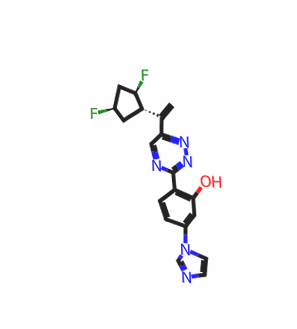 C=C(c1cnc(-c2ccc(-n3ccnc3)cc2O)nn1)[C@@H]1C[C@@H](F)C[C@H]1F